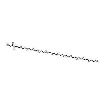 CC(=O)CCOCCOCCOCCOCCOCCOCCOCCOCCOCCOCCOCCOCCNC(=O)CS